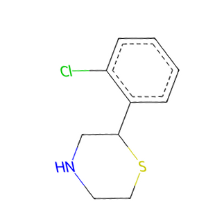 Clc1ccccc1C1CNCCS1